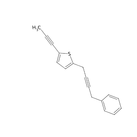 CC#Cc1ccc(CC#CCc2ccccc2)s1